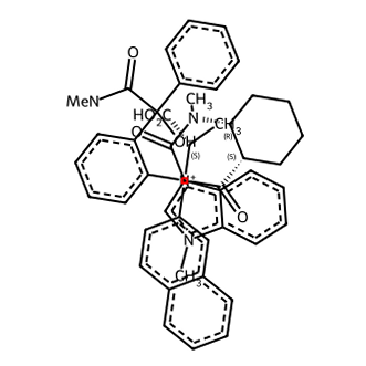 CNC(=O)C(O)(c1ccccc1)c1ccccc1[N+](C(=O)[C@H]1CCCC[C@H]1N(C)C(=O)c1cn(C)c2ccccc12)(c1ccc2ccccc2c1)[C@@H](C)C(=O)O